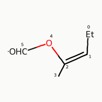 CCC=C(C)O[C]=O